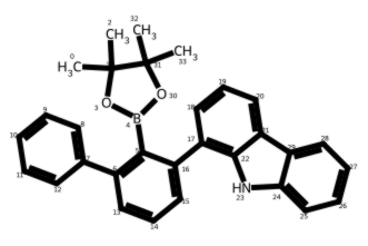 CC1(C)OB(c2c(-c3ccccc3)cccc2-c2cccc3c2[nH]c2ccccc23)OC1(C)C